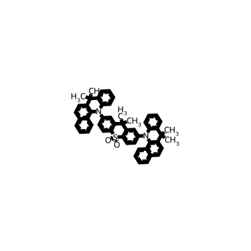 CC1(C)c2cc(N3c4ccccc4C(C)(C)c4ccc5ccccc5c43)ccc2S(=O)(=O)c2ccc(N3c4ccccc4C(C)(C)c4ccc5ccccc5c43)cc21